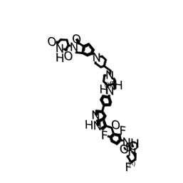 O=C1CCC(N2Cc3cc(N4CCC(CN5CC[C@@H]6[C@H](C5)CN6c5ccc(-c6cnc7[nH]cc(C(=O)c8c(F)ccc(NS(=O)(=O)N9CC[C@@H](F)C9)c8F)c7c6)cc5)CC4)ccc3C2=O)C(=O)N1